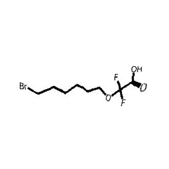 O=C(O)C(F)(F)OCCCCCCBr